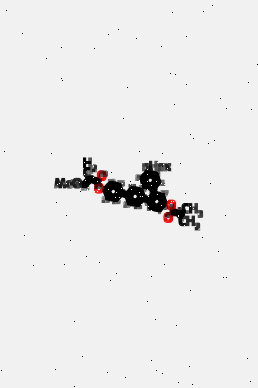 C=C(C)C(=O)Oc1ccc(-c2ccc(-c3ccc(OC(=O)C(=C)COC)cc3)cc2)c(-c2ccc(CCCCCC)cc2)c1